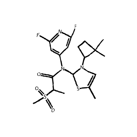 CC1=CN(C2CCC2(C)C)C(N(C(=O)C(C)S(C)(=O)=O)c2cc(F)nc(F)c2)S1